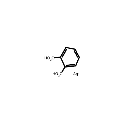 O=C(O)c1ccccc1C(=O)O.[Ag]